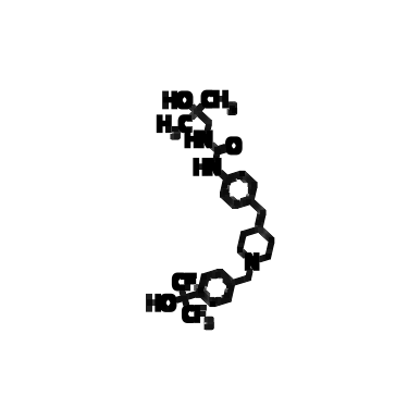 CC(C)(O)CNC(=O)Nc1ccc(C=C2CCN(Cc3ccc(C(O)(C(F)(F)F)C(F)(F)F)cc3)CC2)cc1